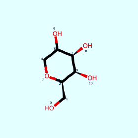 OC[C@H]1OCC(O)[C@@H](O)[C@H]1O